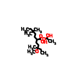 CC(=O)O.CCC(C)(C)CCC(CCC(C)(CC)OC)C(=O)O